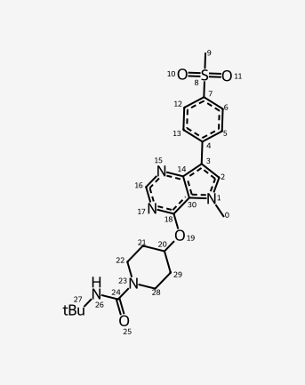 Cn1cc(-c2ccc(S(C)(=O)=O)cc2)c2ncnc(OC3CCN(C(=O)NC(C)(C)C)CC3)c21